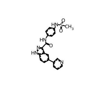 CS(=O)(=O)Nc1ccc(NC(=O)c2n[nH]c3ccc(-c4cccnc4)cc23)cc1